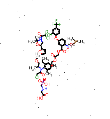 CC1(C)OC(c2ccco2)CN1C(=O)C(Cl)Cl.CCOC(=O)COC(=O)c1cc(Oc2ccc(C(F)(F)F)cc2Cl)ccc1[N+](=O)[O-].CCc1cccc(C)c1N(C(=O)CCl)C(C)COC.C[S+](C)C.O=C(O)CNCP(=O)([O-])O